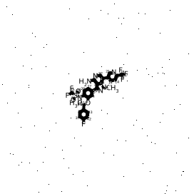 C[C@H](Oc1cc(-c2nn(C)c3c(-c4ccc(C(F)(F)F)nc4)cnc(N)c23)ccc1NS(=O)(=O)C(F)F)c1ccc(F)cc1